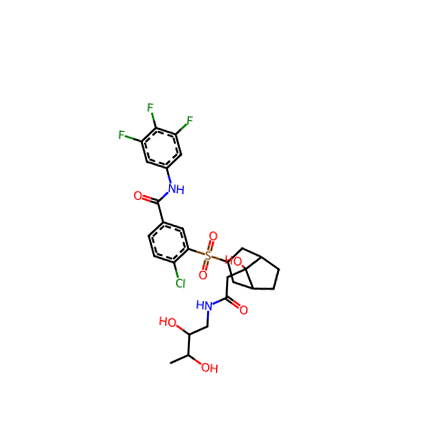 CC(O)C(O)CNC(=O)CC1(O)C2CCC1CC(S(=O)(=O)c1cc(C(=O)Nc3cc(F)c(F)c(F)c3)ccc1Cl)C2